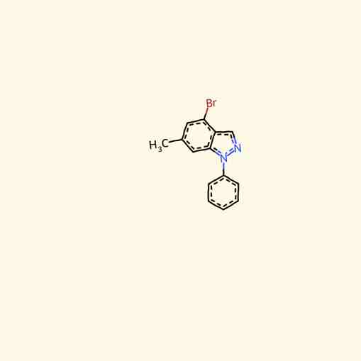 Cc1cc(Br)c2cnn(-c3ccccc3)c2c1